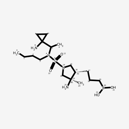 CCCCN(C(C)C1(N)CC1)S(=O)(=O)N1C[C@H](CCCB(O)O)[C@@](C)(N)C1